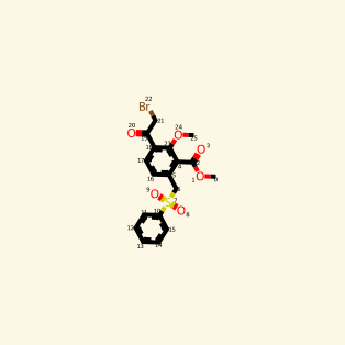 COC(=O)c1c(CS(=O)(=O)c2ccccc2)ccc(C(=O)CBr)c1OC